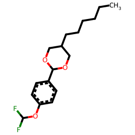 CCCCCCC1COC(c2ccc(OC(F)F)cc2)OC1